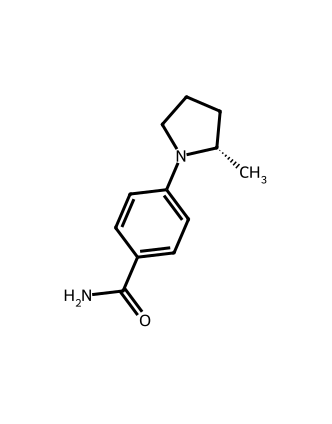 C[C@H]1CCCN1c1ccc(C(N)=O)cc1